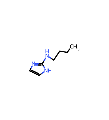 CCCCNc1ncc[nH]1